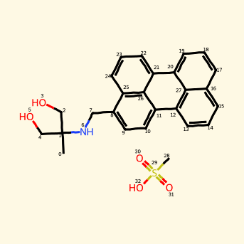 CC(CO)(CO)NCc1ccc2c3cccc4cccc(c5cccc1c52)c43.CS(=O)(=O)O